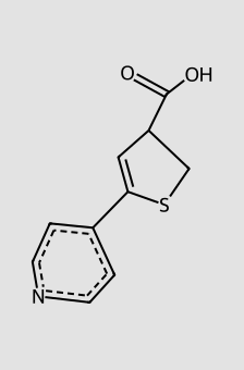 O=C(O)C1C=C(c2ccncc2)SC1